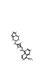 Nc1nccc2c(NCC34CC(CN5CCn6ccnc6C5)(C3)C4)cccc12